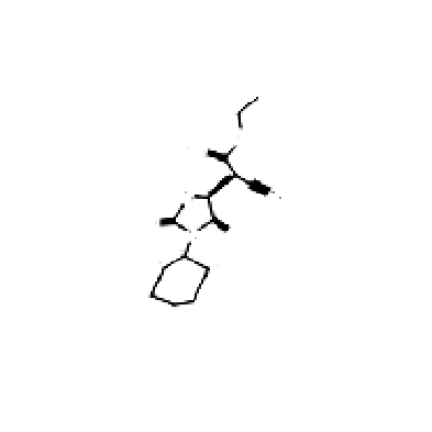 CCOC(=O)C(C#N)=C1NC(=O)N(C2CCCCC2)C1=O